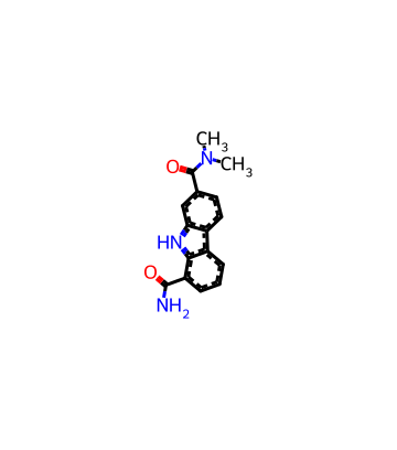 CN(C)C(=O)c1ccc2c(c1)[nH]c1c(C(N)=O)cccc12